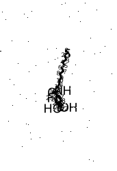 CSCCCCCCCCCCCNC(=O)c1ccc(B(O)O)cc1F